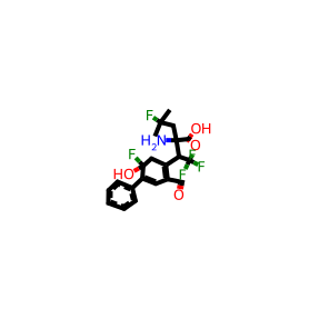 CC(C)(F)CC(N)(C(=O)O)C(C1=C(C=O)C=C(c2ccccc2)C(O)(F)C1)C(F)(F)F